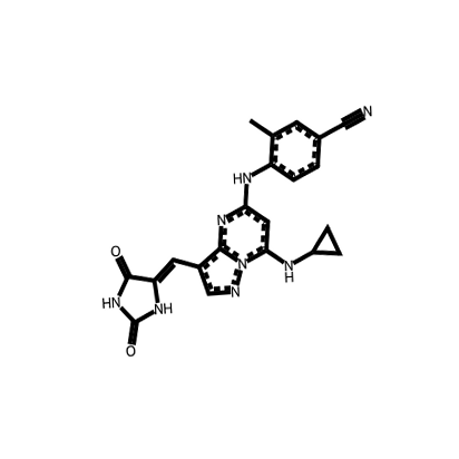 Cc1cc(C#N)ccc1Nc1cc(NC2CC2)n2ncc(/C=C3\NC(=O)NC3=O)c2n1